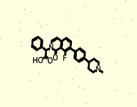 CN1CCC(c2ccc(-c3ccc4ccn(C(C(=O)O)c5ccccc5)c(=O)c4c3F)cc2)CC1